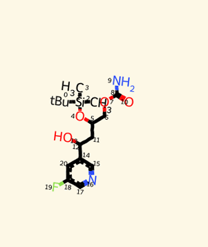 CC(C)(C)[Si](C)(C)OC(COC(N)=O)CC(O)c1cncc(F)c1